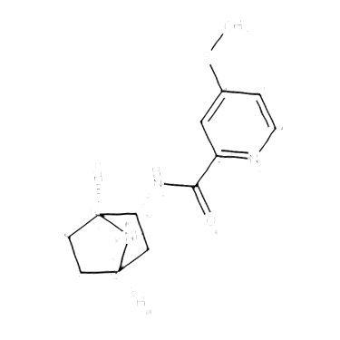 CSc1ccnc(C(=O)N[C@@H]2C[C@H]3CC[C@@H]2N3)c1